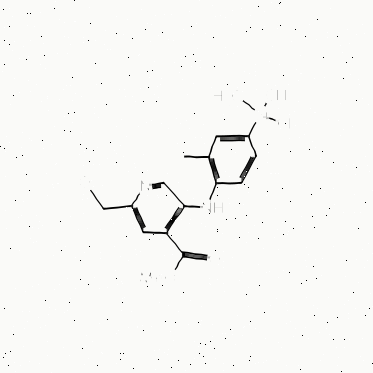 COC(=O)c1cc(CO)ncc1Nc1ccc([Si](C)(C)C)cc1F